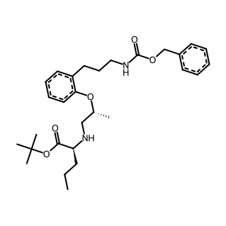 CCC[C@H](NC[C@@H](C)Oc1ccccc1CCCNC(=O)OCc1ccccc1)C(=O)OC(C)(C)C